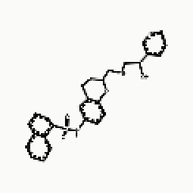 O=S(=O)(Nc1ccc2c(c1)CCC(CNCC(O)c1cccnc1)O2)c1cccc2ccccc12